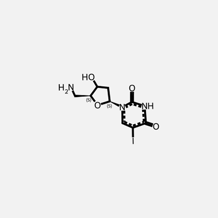 NC[C@@H]1O[C@H](n2cc(I)c(=O)[nH]c2=O)CC1O